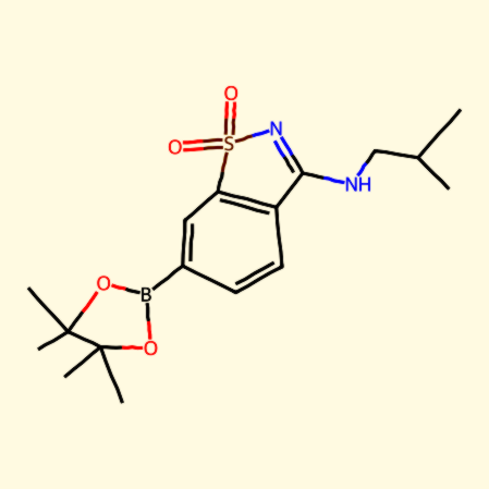 CC(C)CNC1=NS(=O)(=O)c2cc(B3OC(C)(C)C(C)(C)O3)ccc21